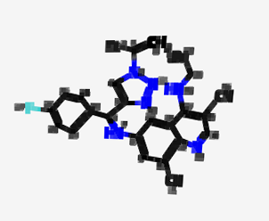 C=C(CC)n1cc([C@@H](Nc2cc(C#N)c3ncc(C#N)c(NCC(C)(C)C)c3c2)c2ccc(F)cc2)nn1